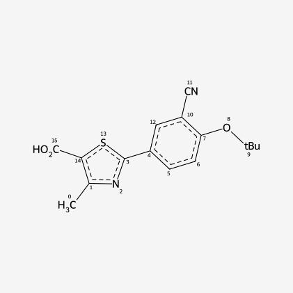 Cc1nc(-c2ccc(OC(C)(C)C)c(C#N)c2)sc1C(=O)O